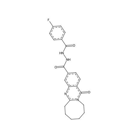 O=C(NNC(=O)c1ccc2c(=O)n3c(nc2c1)CCCCCC3)c1ccc(F)cc1